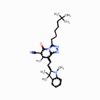 Cc1c(C#N)c(=O)n2c(CCCCCC(C)(C)C)nnc2/c1=C/C=C1\N(C)c2ccccc2C1(C)C